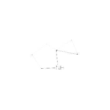 C1CNC2(C1)CC2